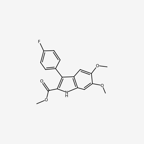 COC(=O)c1[nH]c2cc(OC)c(OC)cc2c1-c1ccc(F)cc1